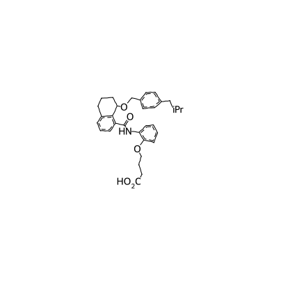 CC(C)Cc1ccc(COC2CCCc3cccc(C(=O)Nc4ccccc4OCCCC(=O)O)c32)cc1